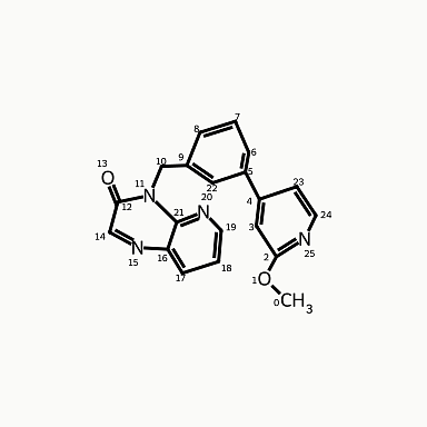 COc1cc(-c2cccc(Cn3c(=O)cnc4cccnc43)c2)ccn1